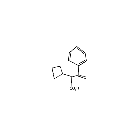 O=C(O)C(C(=O)c1ccccc1)C1CCC1